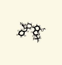 COc1ccc(N2CCNC(CC#N)(Cc3ccccc3)C2)c2ccc(C(F)(F)F)nc12